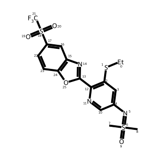 CCSc1cc(N=S(C)(C)=O)cnc1-c1nc2cc(S(=O)(=O)C(F)(F)F)ccc2o1